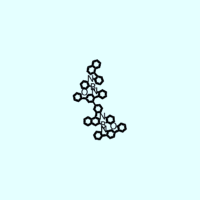 c1ccc2c(c1)B(n1c3ccccc3c3c(-c4ccc5c(c4)c4c6ccccc6cc6c4n5-c4ccccc4B6n4c5ccccc5c5ccc6c7ccccc7oc6c54)cc4c5ccccc5oc4c31)c1cccc3c4c5ccccc5ccc4n-2c13